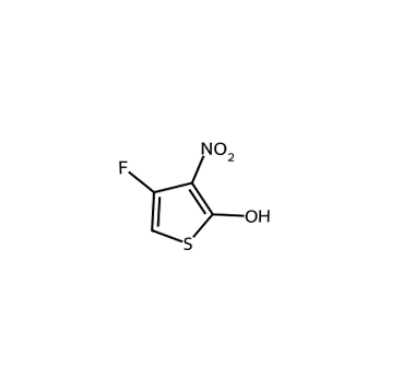 O=[N+]([O-])c1c(F)csc1O